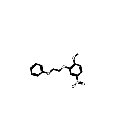 COc1ccc([N+](=O)[O-])cc1OCCOc1ccccc1